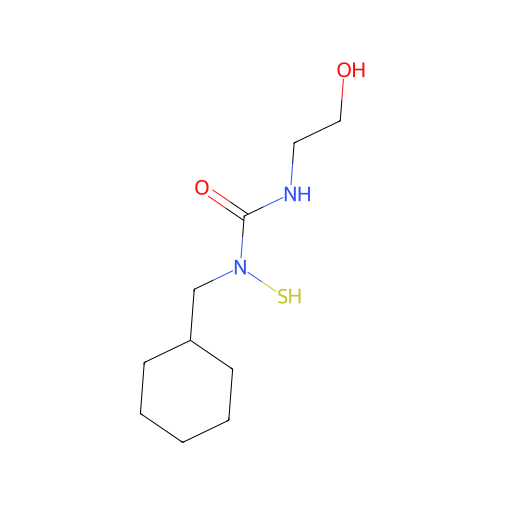 O=C(NCCO)N(S)CC1CCCCC1